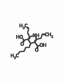 C=CCC1=C(C(=O)O)C(CCCCC)C(C(=O)O)=C(CC=C)N1